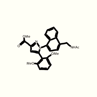 COC(=O)c1cc(-c2c(OC)cccc2OC)n(-c2ccc(CNC(C)=O)c3ccccc23)n1